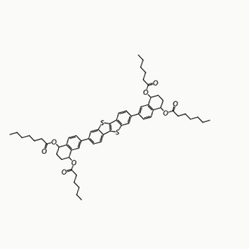 CCCCCCC(=O)OC1CCC(OC(=O)CCCCC)c2cc(-c3ccc4c(c3)sc3c5ccc(-c6ccc7c(c6)C(OC(=O)CCCCC)CCC7OC(=O)CCCCCC)cc5sc43)ccc21